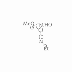 CCOCCN(C)c1ccc(-c2ccc3c(c2)C=C(C(=O)OC)CCN3C=O)cc1